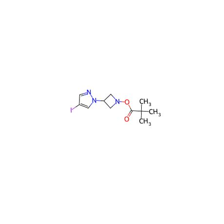 CC(C)(C)C(=O)ON1CC(n2cc(I)cn2)C1